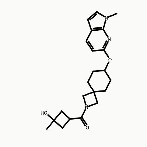 Cn1ccc2ccc(OC3CCC4(CC3)CN(C(=O)C3CC(C)(O)C3)C4)nc21